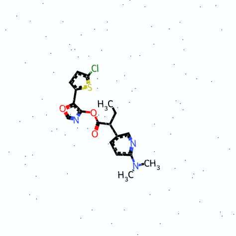 CCC(C(=O)Oc1ncoc1-c1ccc(Cl)s1)c1ccc(N(C)C)nc1